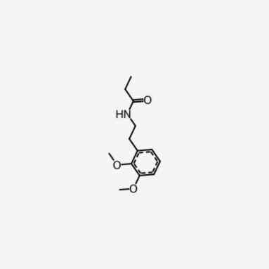 CCC(=O)NCCc1cccc(OC)c1OC